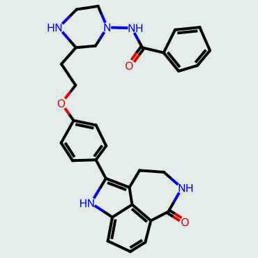 O=C(NN1CCNC(CCOc2ccc(-c3[nH]c4cccc5c4c3CCNC5=O)cc2)C1)c1ccccc1